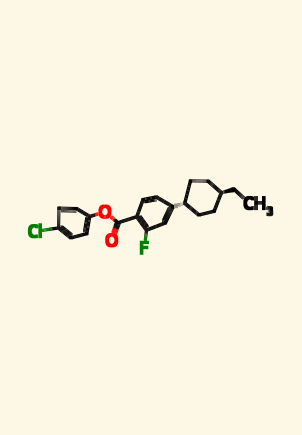 CC[C@H]1CC[C@H](c2ccc(C(=O)Oc3ccc(Cl)cc3)c(F)c2)CC1